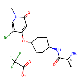 C[C@H](N)C(=O)N[C@H]1CC[C@H](Oc2cc(=O)n(C)cc2Br)CC1.O=C(O)C(F)(F)F